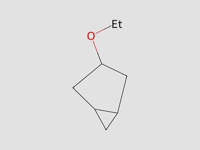 CCOC1CC2CC2C1